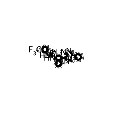 Cc1nc(-c2ccc(NC(=O)Nc3cccc(C(F)(F)F)c3)c3ccccc23)c2c(N)ncc(C3=CCCCC3)n12